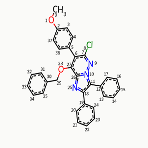 COc1ccc(-c2c(Cl)nn3c(-c4ccccc4)c(-c4ccccc4)nc3c2OCc2ccccc2)cc1